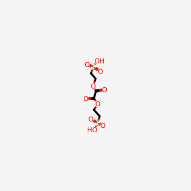 O=C(OCCS(=O)(=O)O)C(=O)OCCS(=O)(=O)O